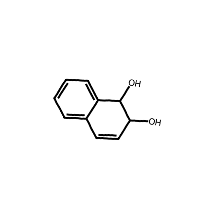 O[C]1c2ccccc2C=CC1O